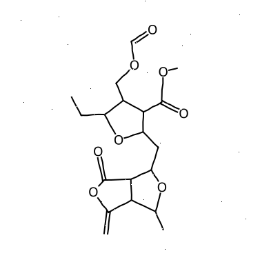 C=C1OC(=O)C2C(CC3OC(CC)C(COC=O)C3C(=O)OC)OC(C)C12